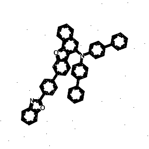 c1ccc(-c2ccc(N(c3ccc(-c4ccccc4)cc3)c3cc4ccccc4c4oc5cc(-c6ccc(-c7nc8ccccc8o7)cc6)ccc5c34)cc2)cc1